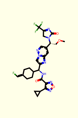 COC[C@H](c1cnn2cc([C@@H](NC(=O)c3nonc3C3CC3)C3CCC(=CF)CC3)nc2c1)N1CC(C(F)(F)F)=NC1=O